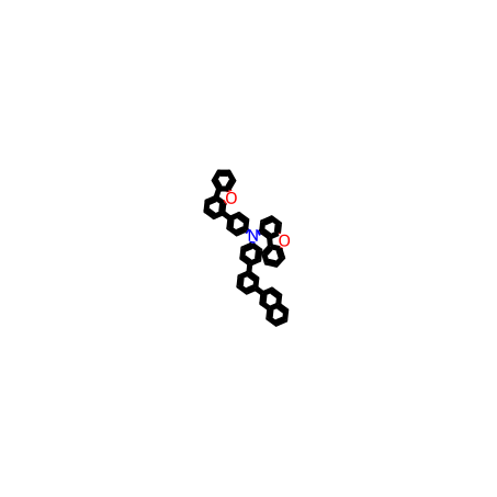 c1cc(-c2ccc(N(c3ccc(-c4cccc5c4oc4ccccc45)cc3)c3cccc4oc5ccccc5c34)cc2)cc(-c2ccc3ccccc3c2)c1